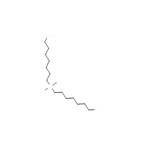 CCCCCCCC[Te](I)(I)CCCCCCCC